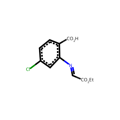 CCOC(=O)C=Nc1cc(Cl)ccc1C(=O)O